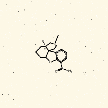 CN1CCC23c4cccc(C(N)=O)c4OC2CCC[C@H]3C1